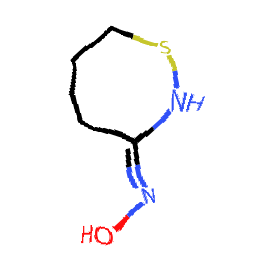 ON=C1CCCSN1